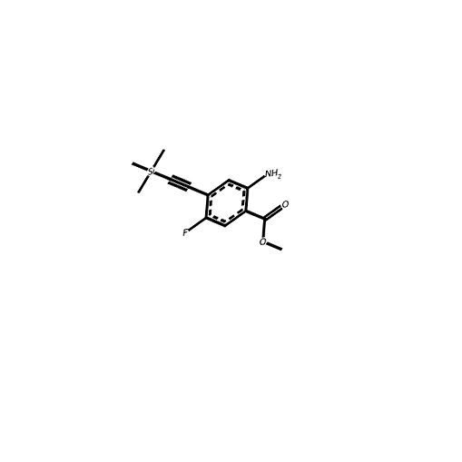 COC(=O)c1cc(F)c(C#C[Si](C)(C)C)cc1N